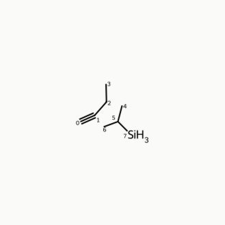 C#CCC.CC(C)[SiH3]